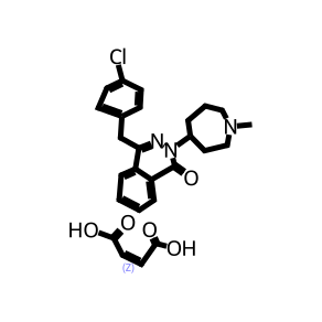 CN1CCCC(n2nc(Cc3ccc(Cl)cc3)c3ccccc3c2=O)CC1.O=C(O)/C=C\C(=O)O